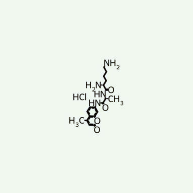 Cc1cc(=O)oc2cc(NC(=O)[C@H](C)NC(=O)[C@@H](N)CCCCN)ccc12.Cl